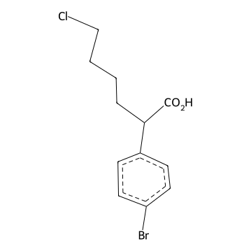 O=C(O)C(CCCCCl)c1ccc(Br)cc1